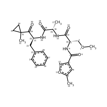 COC[C@H](NC(=O)c1cc(C)on1)C(=O)N[C@@H](C)C(=O)N[C@@H](Cc1ccccc1)C(=O)C1(C)CC1